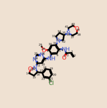 C=CC(=O)Nc1cc(Nc2cc(N3OCCC3c3cccc(Cl)c3)ncn2)c(OC)cc1N1CCC(N2CCOCC2)C1